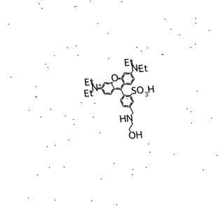 CCN(CC)c1ccc2c(-c3ccc(CNCCO)cc3S(=O)(=O)O)c3ccc(=[N+](CC)CC)cc-3oc2c1